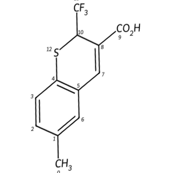 Cc1ccc2c(c1)C=C(C(=O)O)C(C(F)(F)F)S2